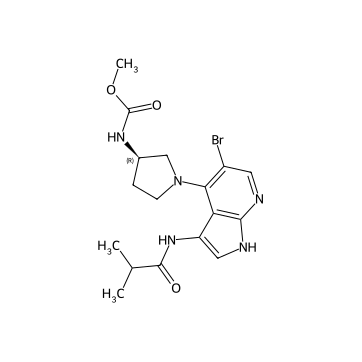 COC(=O)N[C@@H]1CCN(c2c(Br)cnc3[nH]cc(NC(=O)C(C)C)c23)C1